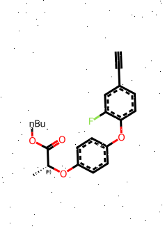 C#Cc1ccc(Oc2ccc(O[C@H](C)C(=O)OCCCC)cc2)c(F)c1